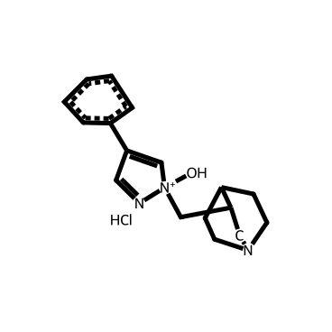 Cl.O[N+]1(CC2CN3CCC2CC3)C=C(c2ccccc2)C=N1